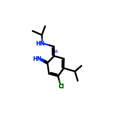 CC(C)N/C=C1/C=C(C(C)C)C(Cl)=CC1=N